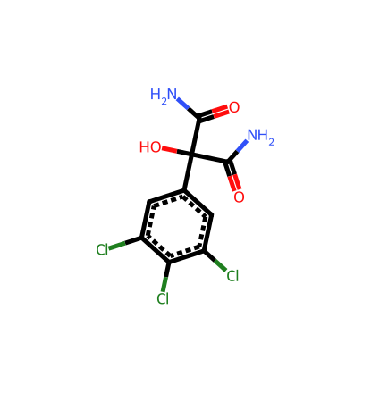 NC(=O)C(O)(C(N)=O)c1cc(Cl)c(Cl)c(Cl)c1